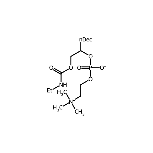 CCCCCCCCCCC(COC(=O)NCC)OP(=O)([O-])OCC[N+](C)(C)C